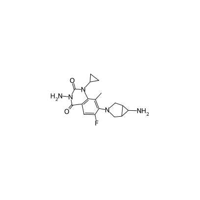 Cc1c(N2CC3C(N)C3C2)c(F)cc2c(=O)n(N)c(=O)n(C3CC3)c12